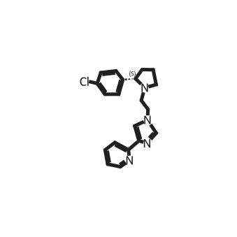 Clc1ccc([C@@H]2CCCN2CCn2cnc(-c3ccccn3)c2)cc1